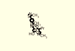 Cc1cc(C(C(=O)N2CC(O)CC2C2=NOC(C)(c3ccc(-c4scnc4C)cc3)N2)C(C)C)on1